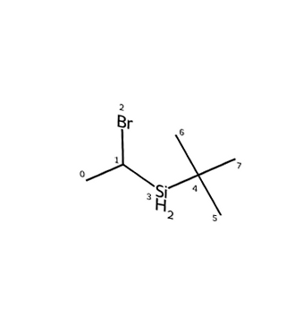 CC(Br)[SiH2]C(C)(C)C